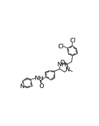 CN(CC(N)c1ccc(C(=O)Nc2ccncc2)cc1)C(=O)Cc1ccc(Cl)c(Cl)c1